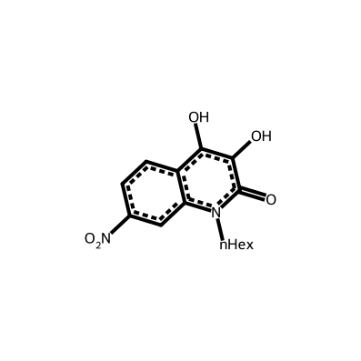 CCCCCCn1c(=O)c(O)c(O)c2ccc([N+](=O)[O-])cc21